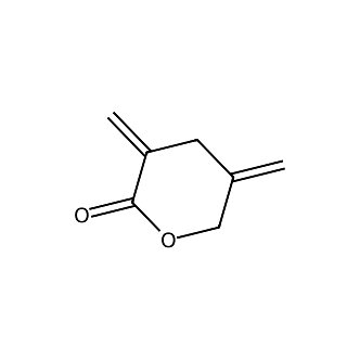 C=C1COC(=O)C(=C)C1